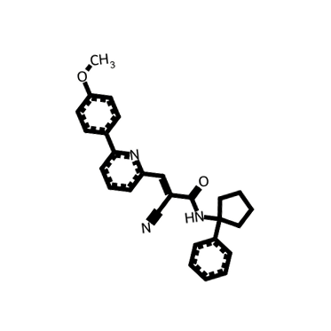 COc1ccc(-c2cccc(/C=C(\C#N)C(=O)NC3(c4ccccc4)CCCC3)n2)cc1